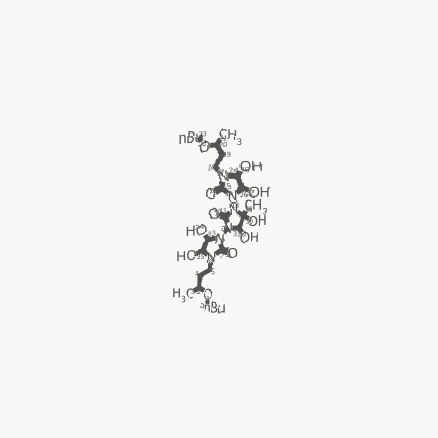 CCCCOC(C)CCN1C(=O)N(N2C(=O)N(N3C(=O)N(CCC(C)OCCCC)C(O)C3O)C(C)(O)C2O)C(O)C1O